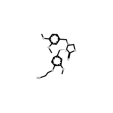 COc1ccc(C[C@H]2COC(=O)[C@@H]2Cc2ccc(OCCO)c(OC)c2)cc1OC